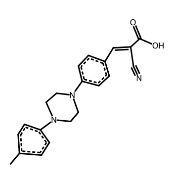 Cc1ccc(N2CCN(c3ccc(/C=C(\C#N)C(=O)O)cc3)CC2)cc1